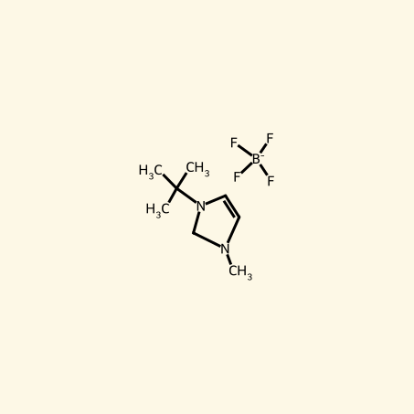 CN1C=CN(C(C)(C)C)C1.F[B-](F)(F)F